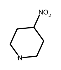 O=[N+]([O-])C1CC[N]CC1